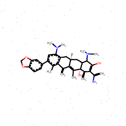 C=C(N)C1=C(O)C(N(C)C)C2C[C@@H]3Cc4c(N(C)C)cc(-c5ccc6c(c5)OCO6)c(C)c4C(=C)C3=C(C)[C@]2(O)C1=C